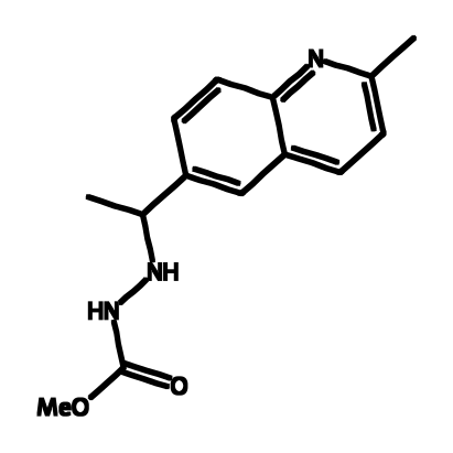 COC(=O)NNC(C)c1ccc2nc(C)ccc2c1